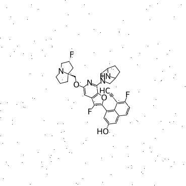 C#Cc1c(F)ccc2cc(O)cc(-c3oc4c(N5CC6CCC(C5)N6)nc(OC[C@@]56CCCN5C[C@H](F)C6)cc4c3F)c12